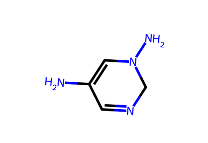 NC1=CN(N)CN=C1